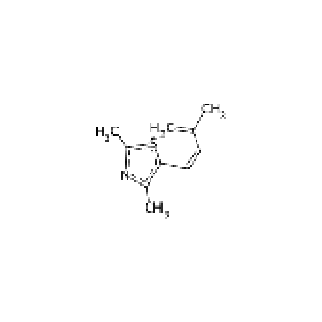 C=C(C)/C=C\c1sc(C)nc1C